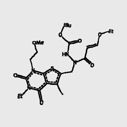 CCO/C=C/C(=O)N(Cc1sc2c(c1C)c(=O)n(CC)c(=O)n2CCOC)NC(=O)OC(C)(C)C